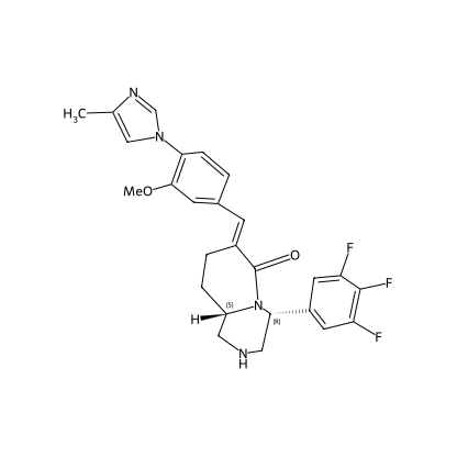 COc1cc(C=C2CC[C@H]3CNC[C@@H](c4cc(F)c(F)c(F)c4)N3C2=O)ccc1-n1cnc(C)c1